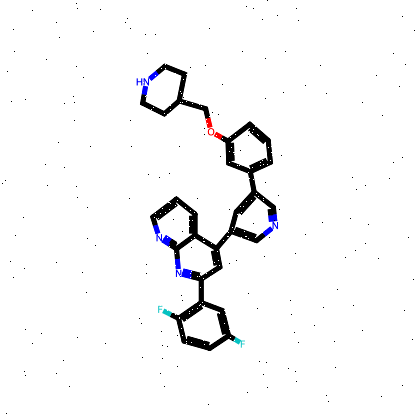 Fc1ccc(F)c(-c2cc(-c3cncc(-c4cccc(OCC5CCNCC5)c4)c3)c3cccnc3n2)c1